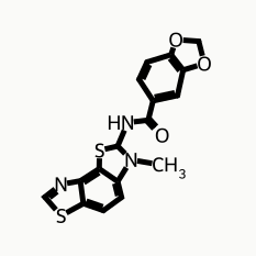 CN1c2ccc3scnc3c2SC1NC(=O)c1ccc2c(c1)OCO2